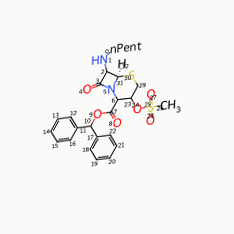 CCCCCNC1C(=O)N2C(C(=O)OC(c3ccccc3)c3ccccc3)C(OS(C)(=O)=O)CS[C@H]12